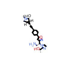 C[C@H](O)c1nccn1[C@H](CN)c1cc(-c2ccc(C#C[C@@H]3[C@H]4CN(C=O)C[C@@H]34)cc2)on1